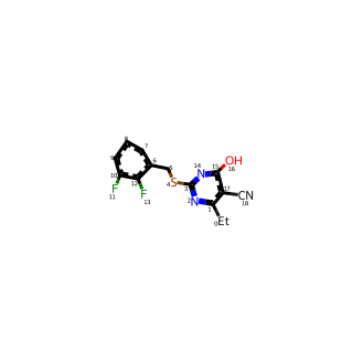 CCc1nc(SCc2cccc(F)c2F)nc(O)c1C#N